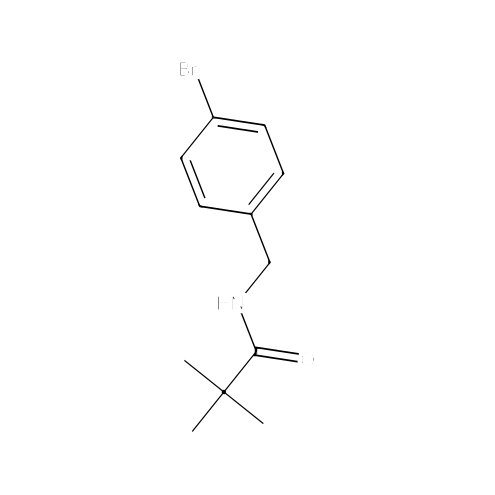 CC(C)(C)C(=O)NCc1ccc(Br)cc1